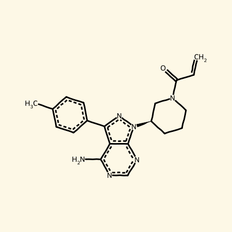 C=CC(=O)N1CCC[C@@H](n2nc(-c3ccc(C)cc3)c3c(N)ncnc32)C1